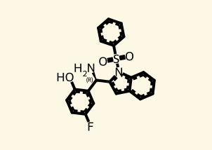 N[C@H](c1cc(F)ccc1O)c1cc2ccccc2n1S(=O)(=O)c1ccccc1